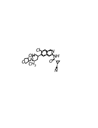 C[C@]1(N2CCC(c3cc4cc(NC(=O)[C@@H]5C[C@H]5C#N)ncc4cc3Cl)CC2)COC[C@H]1O